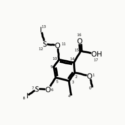 COc1c(C)c(OSI)cc(OSI)c1C(=O)O